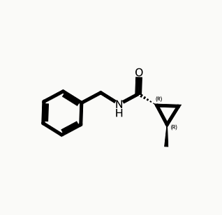 C[C@@H]1C[C@H]1C(=O)NCc1ccccc1